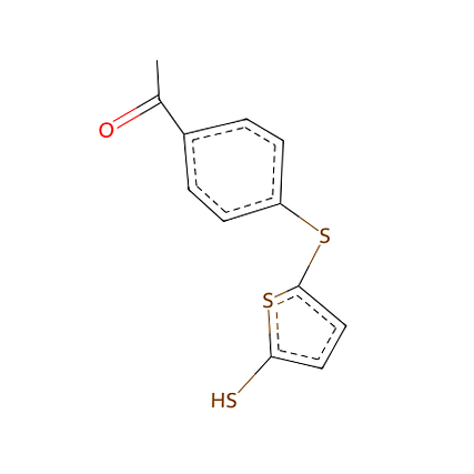 CC(=O)c1ccc(Sc2ccc(S)s2)cc1